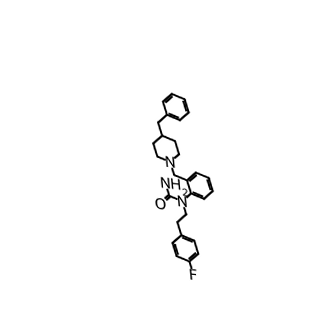 NC(=O)N(CCc1ccc(F)cc1)c1ccccc1CN1CCC(Cc2ccccc2)CC1